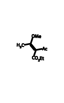 CCOC(=O)C(C(C)=O)=C(C)OC